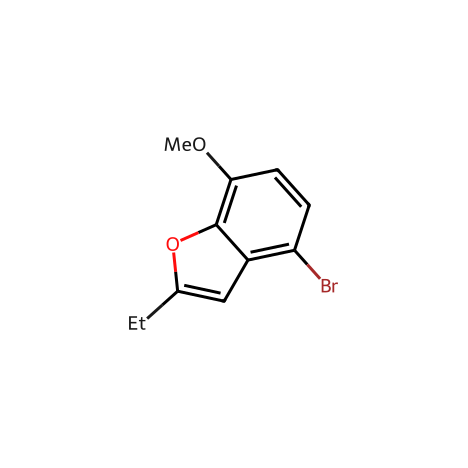 CCc1cc2c(Br)ccc(OC)c2o1